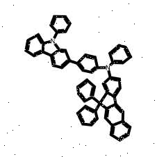 c1ccc(N(c2ccc(-c3ccc4c5ccccc5n(-c5ccccc5)c4c3)cc2)c2ccc3c(c2)C(c2ccccc2)(c2ccccc2)c2cc4ccccc4cc2-3)cc1